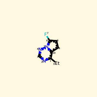 CCc1ncnn2c(F)ccc12